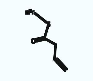 C=CCC(=O)SCCC